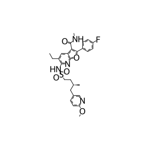 CCc1cc2c(C(=O)NC)c(-c3ccc(F)cc3)oc2nc1NS(=O)(=O)CC[C@@H](C)Cc1ccc(OC)nc1